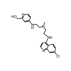 CN(CCNc1ccnc(CO)c1)CCNc1ccnc2cc(Cl)ccc12